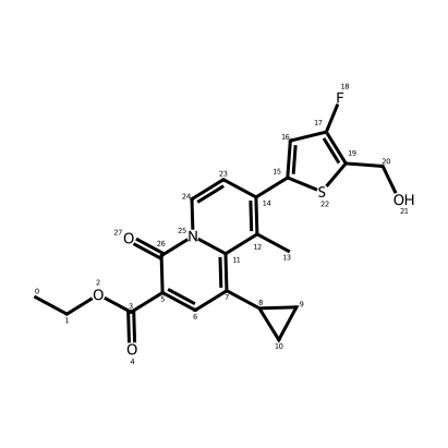 CCOC(=O)c1cc(C2CC2)c2c(C)c(-c3cc(F)c(CO)s3)ccn2c1=O